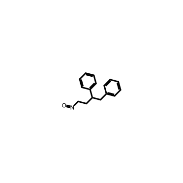 O=NCCC(Cc1ccccc1)c1ccccc1